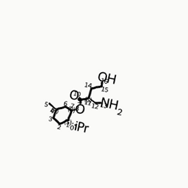 CC(C)[C@@H]1CC[C@@H](C)C[C@H]1OC(=O)[C@H](CN)CCO